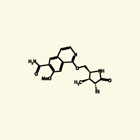 CC[C@H]1C(=O)N[C@H](COc2nccc3cc(C(N)=O)c(OC)cc23)[C@@H]1C